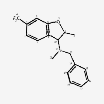 CC1Oc2cc(C(F)(F)F)ccc2C1N(C)Cc1ccccc1